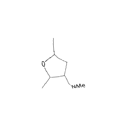 CNC1CC(C)OC1C